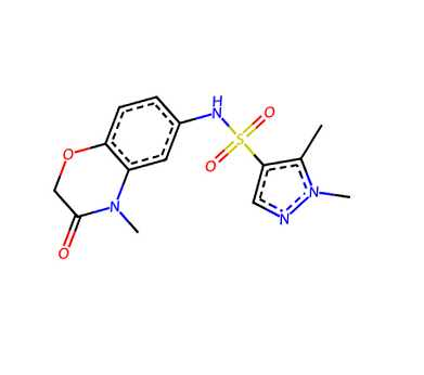 Cc1c(S(=O)(=O)Nc2ccc3c(c2)N(C)C(=O)CO3)cnn1C